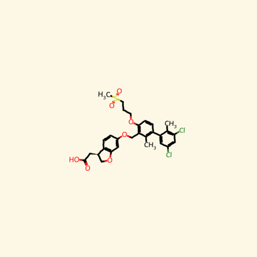 Cc1c(Cl)cc(Cl)cc1-c1ccc(OCCCS(C)(=O)=O)c(COc2ccc3c(c2)OC[C@H]3CC(=O)O)c1C